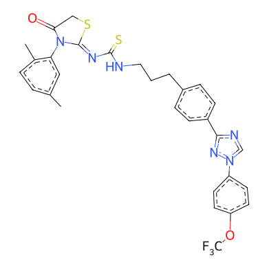 Cc1ccc(C)c(N2C(=O)CS/C2=N\C(=S)NCCCc2ccc(-c3ncn(-c4ccc(OC(F)(F)F)cc4)n3)cc2)c1